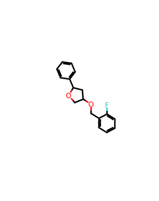 Fc1ccccc1COC1COC(c2ccccc2)C1